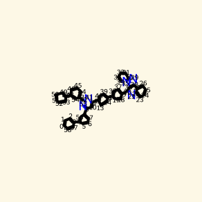 c1ccc(-c2cccc(-c3cc(-c4ccc(-c5ccc(-c6nc7ccccc7c7nc8ccccn8c67)cc5)cc4)nc(-c4cccc(-c5ccccc5)c4)n3)c2)cc1